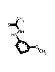 COc1cccc(NNC(N)=S)c1